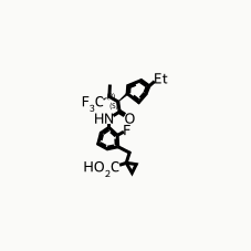 CCc1ccc([C@@H](C(=O)Nc2cccc(CC3(C(=O)O)CC3)c2F)[C@@H](C)C(F)(F)F)cc1